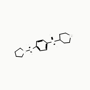 O=S(=O)(c1ccc(S(=O)(=O)N2CCCC2)cc1)C1CCNCC1